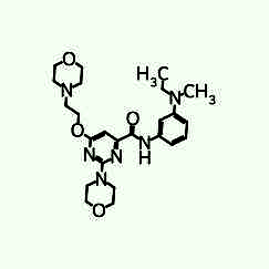 CCN(C)c1cccc(NC(=O)c2cc(OCCN3CCOCC3)nc(N3CCOCC3)n2)c1